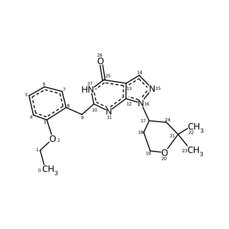 CCOc1ccccc1Cc1nc2c(cnn2C2CCOC(C)(C)C2)c(=O)[nH]1